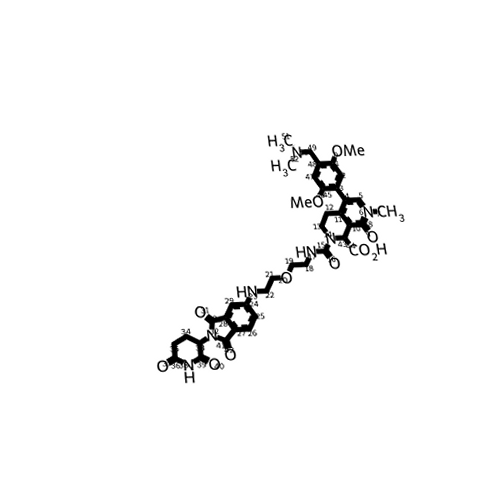 COc1cc(-c2cn(C)c(=O)c3c2CCN(C(=O)NCCOCCNc2ccc4c(c2)C(=O)N(C2CCC(=O)NC2=O)C4=O)C3C(=O)O)c(OC)cc1CN(C)C